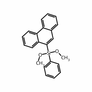 CO[Si](OC)(c1ccccc1)c1cc2ccccc2c2ccccc12